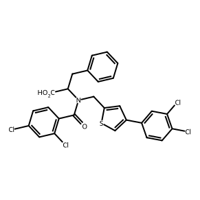 O=C(O)C(Cc1ccccc1)N(Cc1cc(-c2ccc(Cl)c(Cl)c2)cs1)C(=O)c1ccc(Cl)cc1Cl